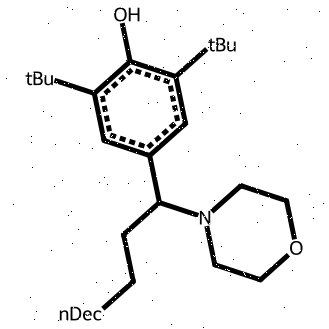 CCCCCCCCCCCCC(c1cc(C(C)(C)C)c(O)c(C(C)(C)C)c1)N1CCOCC1